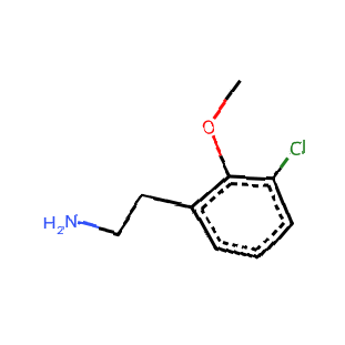 COc1c(Cl)cccc1CCN